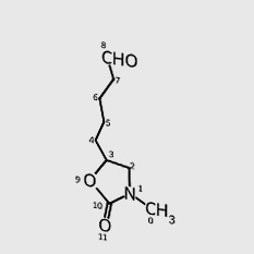 CN1CC(CCCCC=O)OC1=O